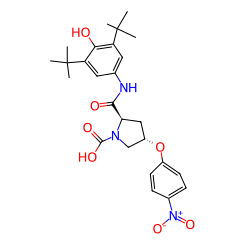 CC(C)(C)c1cc(NC(=O)[C@H]2C[C@H](Oc3ccc([N+](=O)[O-])cc3)CN2C(=O)O)cc(C(C)(C)C)c1O